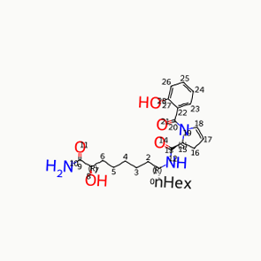 CCCCCC[C@H](CCCCC[C@@H](O)C(N)=O)NC(=O)[C@@H]1CC=CN1C(=O)c1ccccc1O